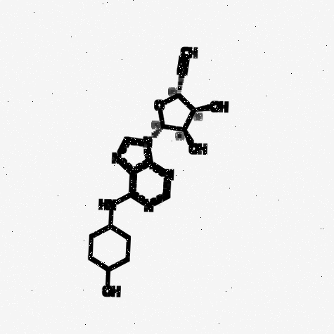 C#C[C@H]1O[C@@H](n2cnc3c(NC4CCC(O)CC4)ncnc32)[C@H](O)[C@@H]1O